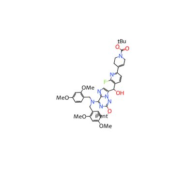 CCCC(C)Oc1nc(N(Cc2ccc(OC)cc2OC)Cc2ccc(OC)cc2OC)c2ncc(C(O)c3ccc(C4=CCN(C(=O)OC(C)(C)C)CC4)nc3F)n2n1